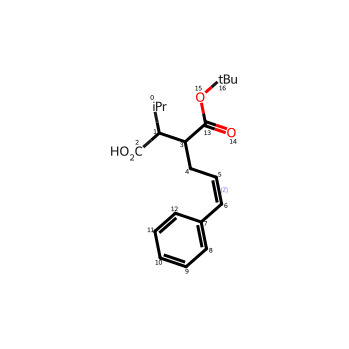 CC(C)C(C(=O)O)C(C/C=C\c1ccccc1)C(=O)OC(C)(C)C